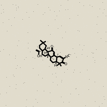 [C-]#[N+]C1=C[C@]2(C)C3=CC(=O)[C@@H]4[C@@H]5CC(C)(C)CC[C@]5(C(=C)O)CC[C@@]4(C)[C@]3(C)CC[C@H]2C(C)(C)C1=O